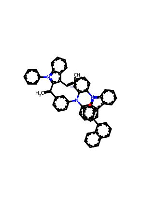 C=C(c1cccc(N(c2ccc(-c3cccc4ccccc34)cc2)c2ccccc2-n2c3ccccc3c3ccccc32)c1)c1c(/C=C\C)c2ccccc2n1-c1ccccc1